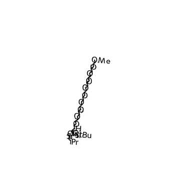 COCCOCCOCCOCCOCCOCCOCCOCCOCCOCCC[Si](C)(O[SiH](C)C(C)(C)C)O[Si](C)(C)CC(C)C